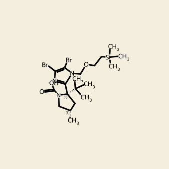 C[C@@H]1CN(C(=O)O)[C@](c2nc(Br)c(Br)n2COCC[Si](C)(C)C)(C(C)(C)C)C1